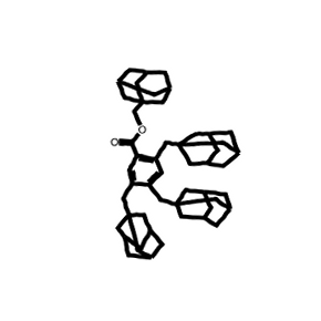 O=C(OCC12CC3CC(CC(C3)C1)C2)c1cc(CC23CC4CC(CC(C4)C2)C3)c(CC23CC4CC(CC(C4)C2)C3)cc1CC12CC3CC(CC(C3)C1)C2